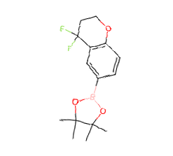 CC1(C)OB(c2ccc3c(c2)C(F)(F)CCO3)OC1(C)C